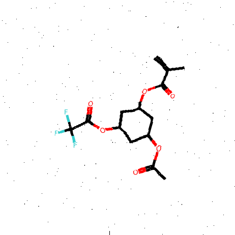 C=C(C)C(=O)OC1CC(OC(C)=O)CC(OC(=O)C(F)(F)F)C1